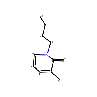 C=C1C(C)=CC=CN1CCCC